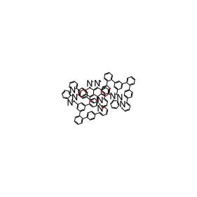 C=Nc1c2c3c(cccc3c3cc(-n4c(-c5cc(-c6ccccc6-c6ccc(-c7ccccn7)cc6)cc(-c6ccccc6-c6ccc(-c7ccccn7)cc6)c5)nc5ccccc54)ccc13)-c1cc(-n3c(-c4cc(-c5ccccc5-c5ccc(-c6ccccn6)cc5)cc(-c5ccccc5-c5ccc(-c6ccccn6)cc5)c4)nc4ccccc43)ccc1/C2=N/C